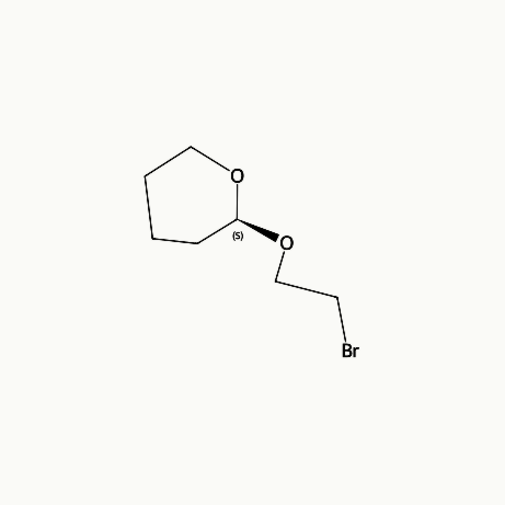 BrCCO[C@H]1CCCCO1